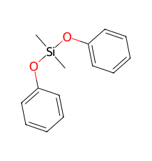 C[Si](C)(Oc1ccccc1)Oc1ccccc1